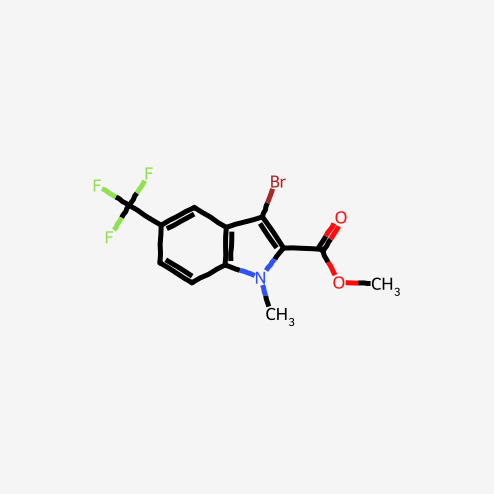 COC(=O)c1c(Br)c2cc(C(F)(F)F)ccc2n1C